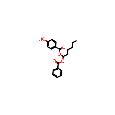 CCCCCC(OC(=O)c1ccccc1)OC(=O)c1ccc(O)cc1